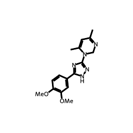 COc1ccc(-c2nc(N3CN=C(C)C=C3C)n[nH]2)cc1OC